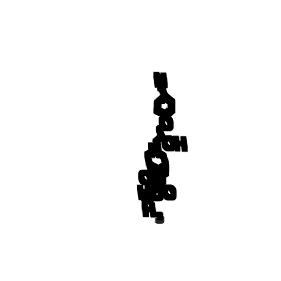 CCC(=O)OC1C2CN(CC(O)COc3ccc(C#N)cc3)CC1CN(C(=O)O)C2